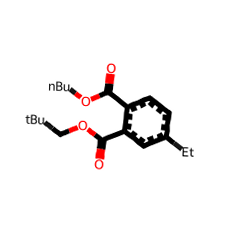 CCCCOC(=O)c1ccc(CC)cc1C(=O)OCC(C)(C)C